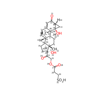 C[C@]12CC[C@H]3[C@@H](C=CC4=CC(=O)[C@@H]5C[C@]5(O)[C@@]43C)[C@@H]1CC[C@]2(O)C(=O)COC(=O)CCS(=O)(=O)O